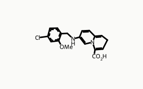 COc1cc(Cl)ccc1CNC1=CN2C(=CCC=C2C(=O)O)C=C1